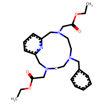 CCOC(=O)CN1CCN(Cc2ccccc2)CCN(CC(=O)OCC)Cc2cccc(n2)C1